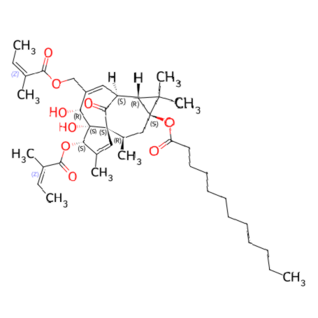 C/C=C(/C)C(=O)OCC1=C[C@@H]2C(=O)[C@]3(C=C(C)[C@H](OC(=O)/C(C)=C\C)[C@@]3(O)[C@@H]1O)[C@H](C)C[C@]1(OC(=O)CCCCCCCCCCC)[C@H]2C1(C)C